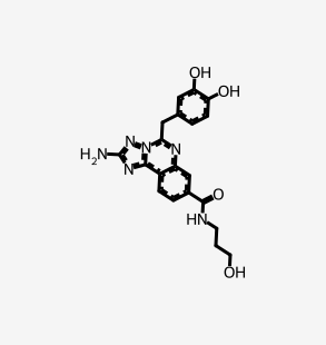 Nc1nc2c3ccc(C(=O)NCCCO)cc3nc(Cc3ccc(O)c(O)c3)n2n1